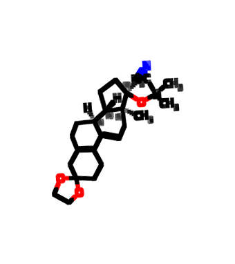 C[C@]12CC=C3C4=C(CC[C@H]3[C@@H]1CC[C@@]2(C#N)O[Si](C)(C)C)CC1(CC4)OCCO1